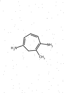 CC1=C(N)C=CC=C(N)C1